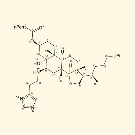 CCCCCC(=O)O[C@H]1CC[C@]2(C)[C@H]3CC[C@]4(C)[C@@H]([C@H](C)CCCC(C)C)CC[C@H]4[C@@H]3C[C@@H](NCCc3c[nH]cn3)[C@@]2(O)C1